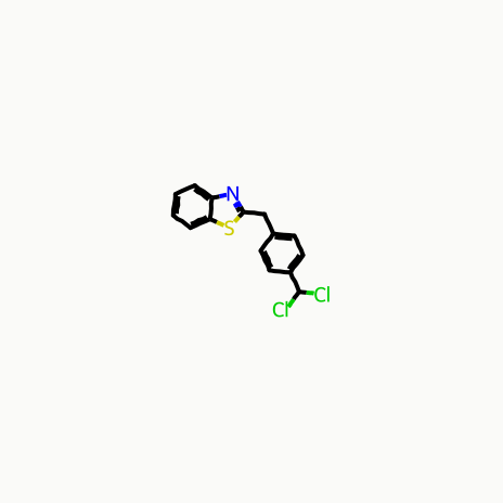 ClC(Cl)c1ccc(Cc2nc3ccccc3s2)cc1